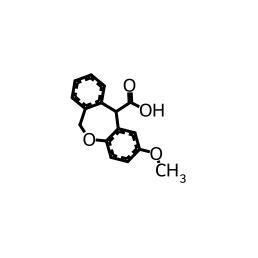 COc1ccc2c(c1)C(C(=O)O)c1ccccc1CO2